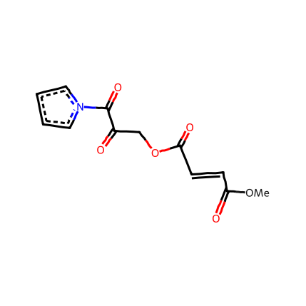 COC(=O)/C=C/C(=O)OCC(=O)C(=O)n1cccc1